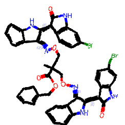 CC(CO/N=C1\C(=C2\C(=O)Nc3cc(Br)ccc32)Nc2ccccc21)(CO/N=C1/C(=C2/C(=O)Nc3cc(Br)ccc32)Nc2ccccc21)C(=O)OCc1ccccc1